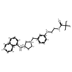 CC(C)(C)C(=O)OCCOc1cccc(CN2CC[C@@H](Nc3cccc4cnccc34)C2)c1